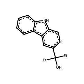 CCC(O)(CC)c1cc2c(cn1)[nH]c1ccccc12